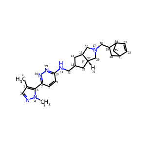 Cc1cnn(C)c1-c1ccc(NCC2CC3CN(CC4CC5C=CC4C5)C[C@@H]3C2)nn1